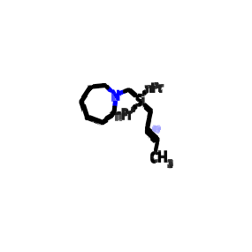 C/C=C/C[Si](CCC)(CCC)CN1CCCCCC1